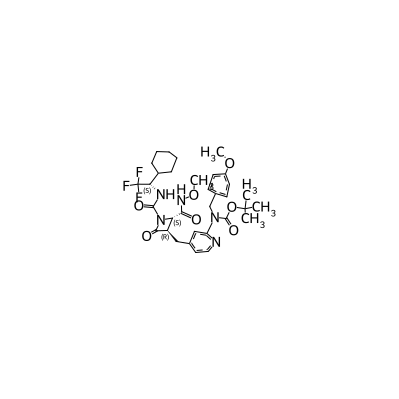 CONC(=O)[C@@H]1[C@@H](Cc2ccnc(N(Cc3ccc(OC)cc3)C(=O)OC(C)(C)C)c2)C(=O)N1C(=O)N[C@@H](C1CCCCC1)C(F)(F)F